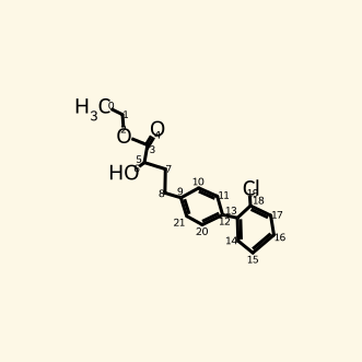 CCOC(=O)C(O)CCc1ccc(-c2ccccc2Cl)cc1